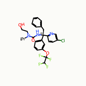 CC(C)N(CCO)C(=O)N[C@@](Cc1ccccc1)(c1cccc(OC(F)(F)C(F)F)c1)c1ccc(Cl)cn1